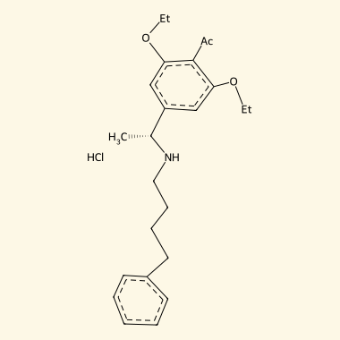 CCOc1cc([C@@H](C)NCCCCc2ccccc2)cc(OCC)c1C(C)=O.Cl